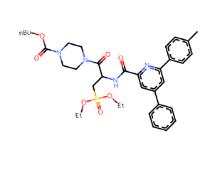 CCCCOC(=O)N1CCN(C(=O)C(CP(=O)(OCC)OCC)NC(=O)c2cc(-c3ccccc3)cc(-c3ccc(C)cc3)n2)CC1